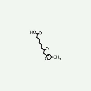 CC1C=C(CC(=O)CCCCCC(=O)O)OC1